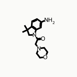 CC1(C)CN(C(=O)CN2CCOCC2)c2cc(N)ccc21